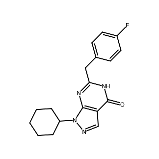 O=c1[nH]c(Cc2ccc(F)cc2)nc2c1cnn2C1CCCCC1